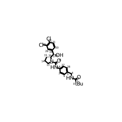 CC(C)(C)C(=O)NCc1ccc(NC(=O)N2CCC[C@@H]2[C@@H](O)c2ccc(Cl)c(Cl)c2)cc1